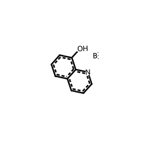 Oc1cccc2cccnc12.[B]